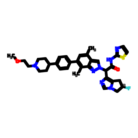 COCCN1CCC(c2ccc(-c3cc(C)c4cn(C(C(=O)Nc5nccs5)c5ncn6c5C[C@@H](F)C6)nc4c3C)cc2)CC1